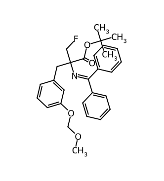 COCOc1cccc(CC(CF)(N=C(c2ccccc2)c2ccccc2)C(=O)OC(C)(C)C)c1